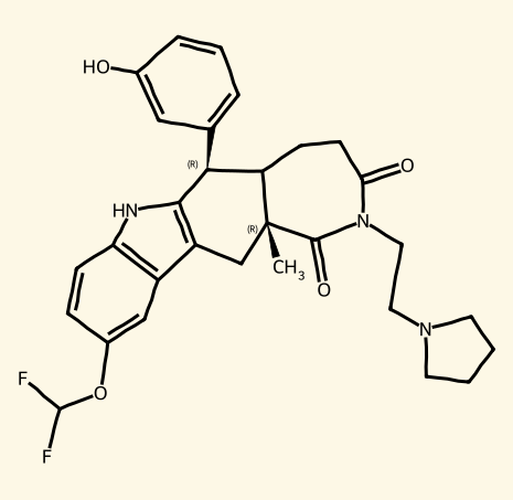 C[C@@]12Cc3c([nH]c4ccc(OC(F)F)cc34)[C@@H](c3cccc(O)c3)C1CCC(=O)N(CCN1CCCC1)C2=O